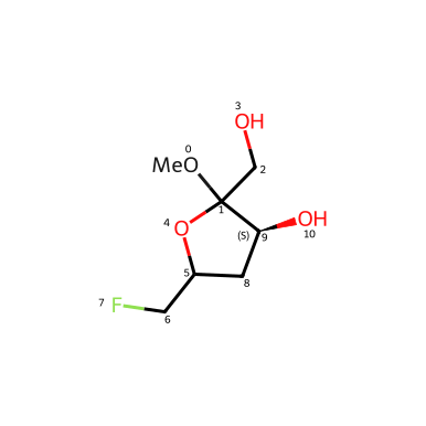 COC1(CO)OC(CF)C[C@@H]1O